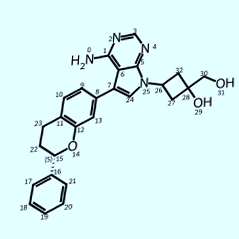 Nc1ncnc2c1c(-c1ccc3c(c1)O[C@H](c1ccccc1)CC3)cn2C1CC(O)(CO)C1